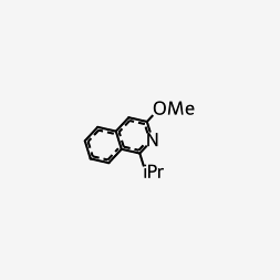 COc1cc2ccccc2c(C(C)C)n1